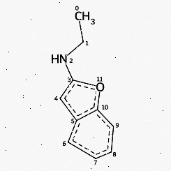 CCNc1cc2ccccc2o1